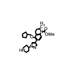 COC(=O)N1c2ccc(-c3cnn(C4CCNCC4)c3)c(OCC3CCCC3)c2CC[C@@H]1C